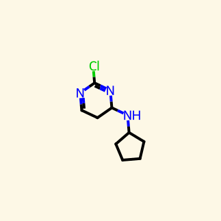 ClC1=NC(NC2CCCC2)CC=N1